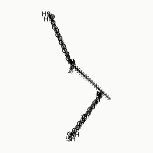 CCCCCCCC(CCCCCCCCCCCCCCCCCCCCCCCCCCCC(CCCCC)c1cn(CCOCCOCCOCCOCCOCCOCCOCCOCCOCCOCCNC(=O)CCS)nn1)c1cn(CCOCCOCCOCCOCCOCCOCCOCCOCCOCCOCCNC(=O)CCS)nn1